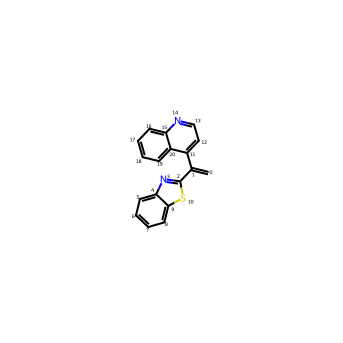 C=C(c1nc2ccccc2s1)c1ccnc2ccccc12